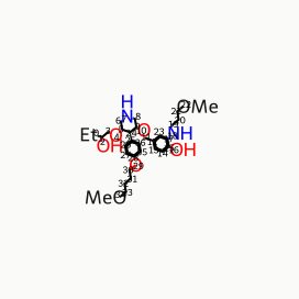 CCC(O)CO[C@@H]1CNC[C@H](OCc2ccc(O)c(NCCCOC)c2)[C@H]1c1ccc(OCCCCOC)cc1